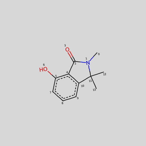 CN1C(=O)c2c(O)cccc2C1(C)C